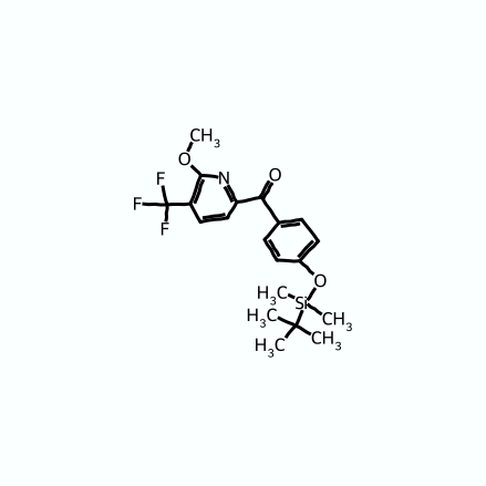 COc1nc(C(=O)c2ccc(O[Si](C)(C)C(C)(C)C)cc2)ccc1C(F)(F)F